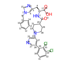 O=C(N[C@@H](Cc1cn(Cc2ccccc2)cn1)C(=O)O)C1CCN(c2cncc(-c3cccc(Cl)c3Cl)c2)CC1